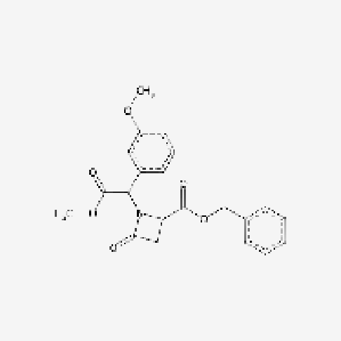 COC(=O)C(c1cccc(OC)c1)N1C(=O)CC1C(=O)OCc1ccccc1